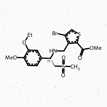 CCOc1cc([C@@H](CS(C)(=O)=O)NCc2c(Br)csc2C(=O)OC)ccc1OC